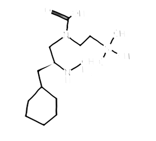 CN[C@@H](CC1CCCCC1)CN(CC[Si](C)(C)C)C(=O)O